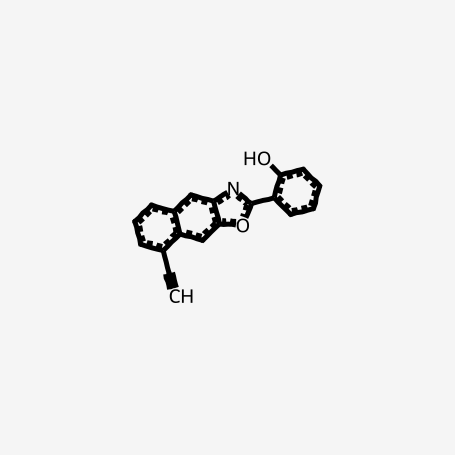 C#Cc1cccc2cc3nc(-c4ccccc4O)oc3cc12